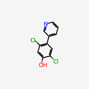 Oc1cc(Cl)c(-c2cccnc2)cc1Cl